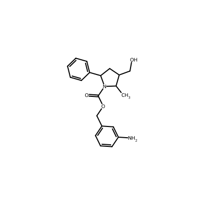 CC1C(CO)CC(c2ccccc2)N1C(=O)OCc1cccc(N)c1